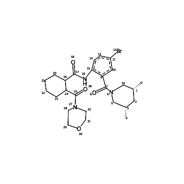 C[C@@H]1C[C@H](C)CN(C(=O)c2cc(Br)ccc2NC(=O)C2CCCCC2C(=O)N2CCOCC2)C1